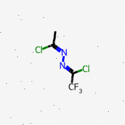 C/C(Cl)=N/N=C(\Cl)C(F)(F)F